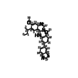 CCC(C)c1cc2c(Nc3cc(-c4ccc5ncsc5c4)ccc3OC)ncnc2cc1OC